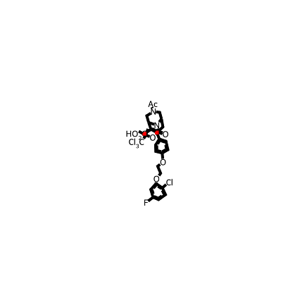 CC(=O)N1CC2CC(c3ccc(OCCOc4cc(F)ccc4Cl)cc3)=C(C(=O)O)C(C1)N2C(=O)OC(C)(C)C(Cl)(Cl)Cl